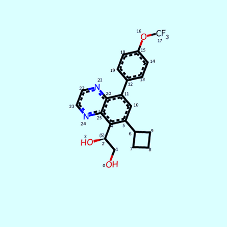 OC[C@@H](O)c1c(C2CCC2)cc(-c2ccc(OC(F)(F)F)cc2)c2nccnc12